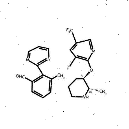 C[C@@H]1NCCC[C@H]1Oc1ncc(C(F)(F)F)cc1F.Cc1cccc(C=O)c1-c1ncccn1